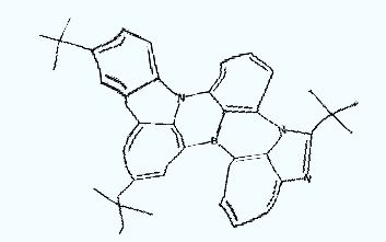 CC(C)(C)c1ccc2c(c1)c1cc(C(C)(C)C)cc3c1n2-c1cccc2c1B3c1cccc3nc(C(C)(C)C)n-2c13